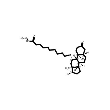 CCCCCNC(=O)CCCCCCCCCO[C@H]1C[C@]2(C)[C@@H](O)CC[C@H]2[C@@H]2CC[C@H]3CC(=O)CC[C@]3(C)[C@H]21